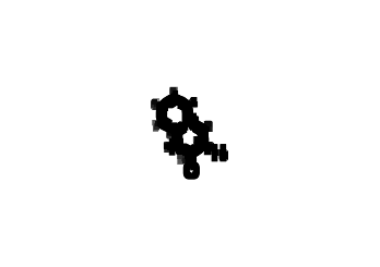 [2H]c1cn2ccccc2nc1=O